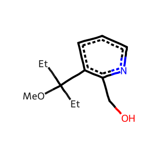 CCC(CC)(OC)c1cccnc1CO